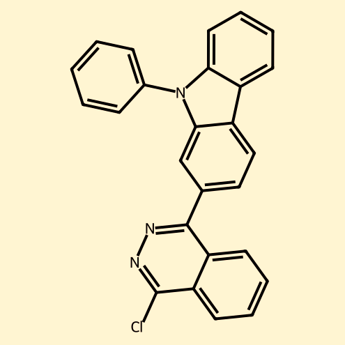 Clc1nnc(-c2ccc3c4ccccc4n(-c4ccccc4)c3c2)c2ccccc12